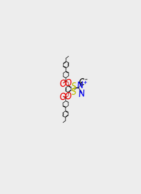 [C-]#[N+]C(C#N)=C1Sc2c(OC(=O)C3CC=C(c4ccc(CC)cc4)CC3)ccc(OC(=O)C3CC=C(c4ccc(CC)cc4)CC3)c2S1